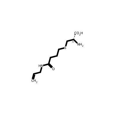 C=CCNC(=O)CCCSC[C@@H](N)C(=O)O